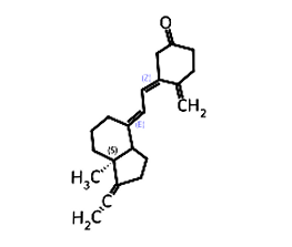 C=C=C1CCC2/C(=C/C=C3/CC(=O)CCC3=C)CCC[C@]12C